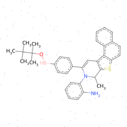 CC1c2sc3ccc4ccccc4c3c2C=C(c2ccc(BOC(C)(C)C(C)(C)C)cc2)N1c1ccccc1N